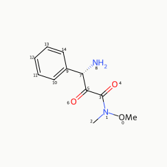 CON(C)C(=O)C(=O)[C@@H](N)c1ccccc1